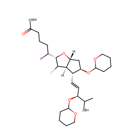 CCCCC(C)[C@H](/C=C/[C@@H]1[C@H]2C(F)[C@H](C(I)CCCC(=O)OC)O[C@@H]2C[C@H]1OC1CCCCO1)OC1CCCCO1